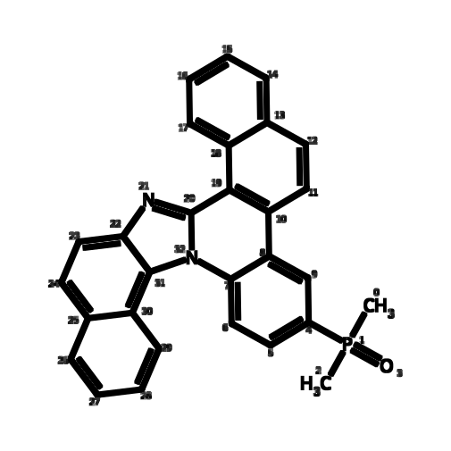 CP(C)(=O)c1ccc2c(c1)c1ccc3ccccc3c1c1nc3ccc4ccccc4c3n21